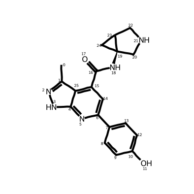 Cc1n[nH]c2nc(-c3ccc(O)cc3)cc(C(=O)N[C@]34CNCC3C4)c12